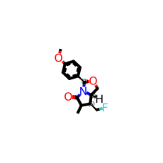 COc1ccc([C@H]2OC[C@@H]3[C@@H](CF)C(C)C(=O)N23)cc1